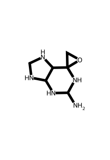 NC1NC2NCNC2C2(CO2)N1